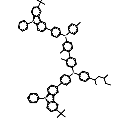 CCC(C)CC(C)c1ccc(N(c2ccc(-c3ccc4c(c3)c3cc(C(C)(C)C)ccc3n4-c3ccccc3)cc2)c2ccc(-c3ccc(N(c4ccc(C)cc4)c4ccc(-c5ccc6c(c5)c5cc(C(C)(C)C)ccc5n6-c5ccccc5)cc4)cc3C)c(C)c2)cc1